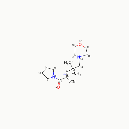 CC(C)(/C=C(\C#N)C(=O)N1CCCC1)CN1CCOCC1